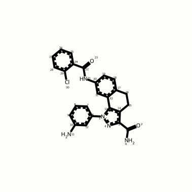 NC(=O)c1nn(-c2cccc(N)c2)c2c1CCc1ccc(NC(=O)c3ccccc3Cl)cc1-2